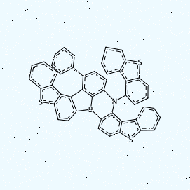 c1ccc(-c2ccc3c4c2-c2c(ccc5sc6ccccc6c25)B4c2ccc4sc5ccccc5c4c2N3c2cccc3sc4ccccc4c23)cc1